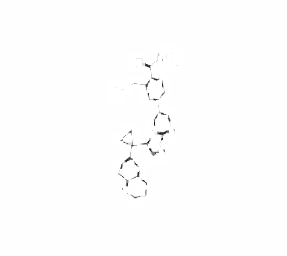 NC(=O)c1ccc(-c2cnc3ncc(C4(c5ccc6ncccc6c5)CC4)n3c2)cc1CCl